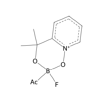 CC(=O)[B-]1(F)O[n+]2ccccc2C(C)(C)O1